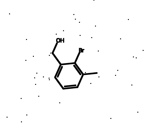 Cc1cccc([CH]O)c1Br